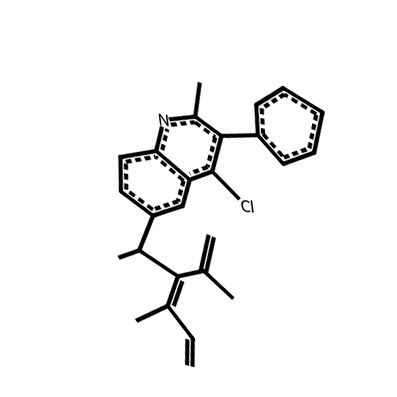 C=C/C(C)=C(\C(=C)C)C(C)c1ccc2nc(C)c(-c3ccccc3)c(Cl)c2c1